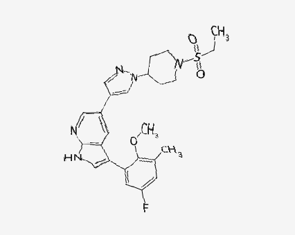 CCS(=O)(=O)N1CCC(n2cc(-c3cnc4[nH]cc(-c5cc(F)cc(C)c5OC)c4c3)cn2)CC1